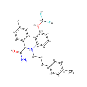 Cc1ccc(C(C(N)=O)N(CCCc2ccc(C(F)(F)F)cc2)c2cccc(OC(F)F)c2)cc1